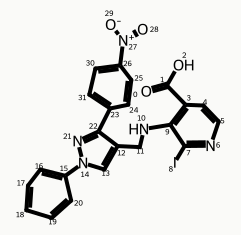 O=C(O)c1ccnc(I)c1NCc1cn(-c2ccccc2)nc1-c1ccc([N+](=O)[O-])cc1